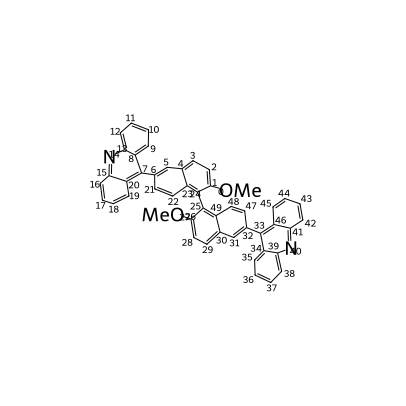 COc1ccc2cc(-c3c4ccccc4nc4ccccc34)ccc2c1-c1c(OC)ccc2cc(-c3c4ccccc4nc4ccccc34)ccc12